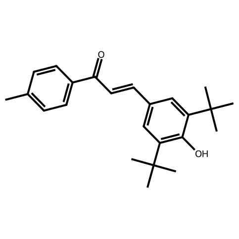 Cc1ccc(C(=O)/C=C/c2cc(C(C)(C)C)c(O)c(C(C)(C)C)c2)cc1